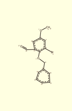 COc1cc(Br)c(OCc2ccccc2)c(C=O)c1